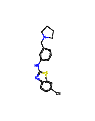 N#Cc1ccc2nc(Nc3cccc(CN4CCCC4)c3)sc2c1